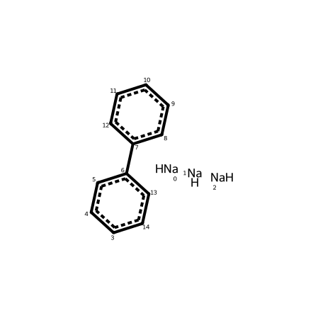 [NaH].[NaH].[NaH].c1ccc(-c2ccccc2)cc1